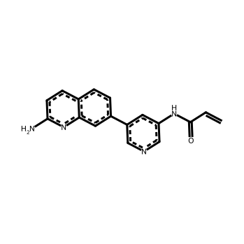 C=CC(=O)Nc1cncc(-c2ccc3ccc(N)nc3c2)c1